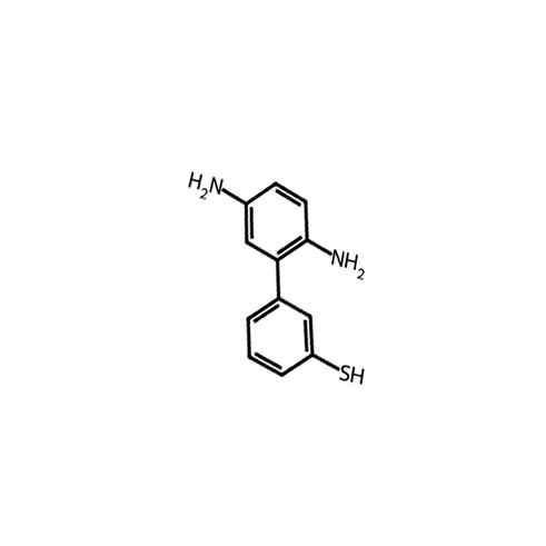 Nc1ccc(N)c(-c2cccc(S)c2)c1